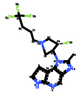 Cc1nc2cnc3[nH]ccc3c2n1C1CN(CCCC(F)(F)F)C[C@@H]1F